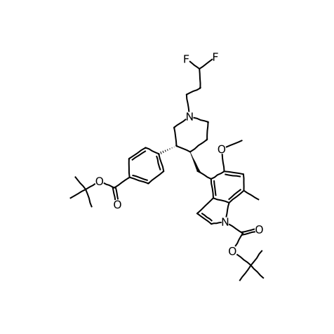 COc1cc(C)c2c(ccn2C(=O)OC(C)(C)C)c1C[C@@H]1CCN(CCC(F)F)C[C@H]1c1ccc(C(=O)OC(C)(C)C)cc1